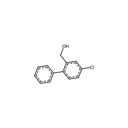 OCc1cc(Cl)ccc1-c1ccccc1